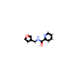 O=C(NCc1ccoc1)c1ccccn1